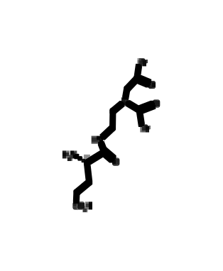 CC(C)C(=O)CN(CCNC(=O)[C@@H](N)CCC(=O)O)C(=O)C(C)C